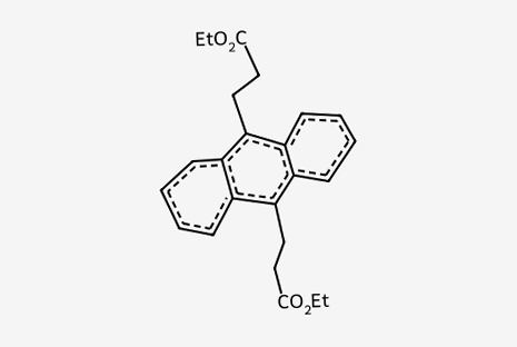 CCOC(=O)CCc1c2ccccc2c(CCC(=O)OCC)c2ccccc12